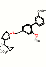 CCCCOc1cc(COc2cccc([C@@H](CC(=O)O)C3CC3)c2)ccc1-c1cccc(OC)c1